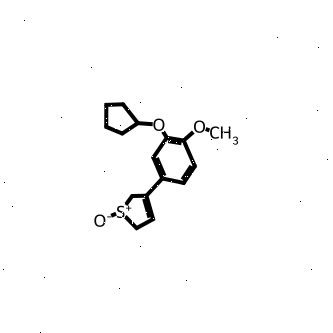 COc1ccc(C2=CC[S+]([O-])C2)cc1OC1CCCC1